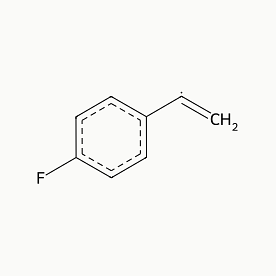 C=[C]c1ccc(F)cc1